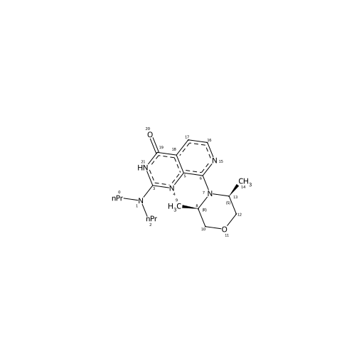 CCCN(CCC)c1nc2c(N3[C@H](C)COC[C@@H]3C)nccc2c(=O)[nH]1